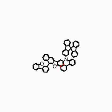 c1ccc(-c2ccccc2N(c2ccc3c(c2)C2(c4ccccc4-c4ccccc42)c2ccccc2-3)c2ccc3oc4c(-c5cccc6c5oc5ccccc56)c5ccccc5cc4c3c2)cc1